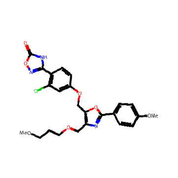 COCCCOCc1nc(-c2ccc(OC)cc2)oc1COc1ccc(-c2noc(=O)[nH]2)c(Cl)c1